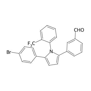 O=Cc1cccc(-c2ccc(-c3ccc(Br)cc3)n2-c2ccccc2C(F)(F)F)c1